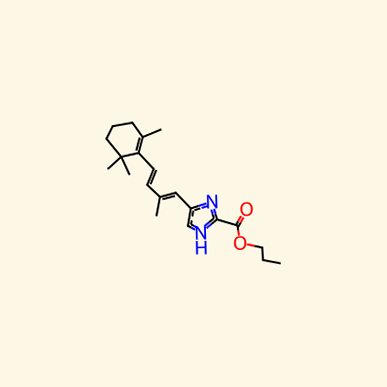 CCCOC(=O)c1nc(C=C(C)C=CC2=C(C)CCCC2(C)C)c[nH]1